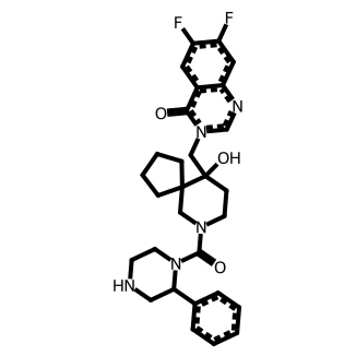 O=C(N1CCC(O)(Cn2cnc3cc(F)c(F)cc3c2=O)C2(CCCC2)C1)N1CCNCC1c1ccccc1